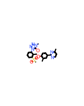 Cc1ccnc(-c2ccc(OCc3c(-n4nnn(C)c4=O)cccc3S(C)(=O)=O)c(C)c2)n1